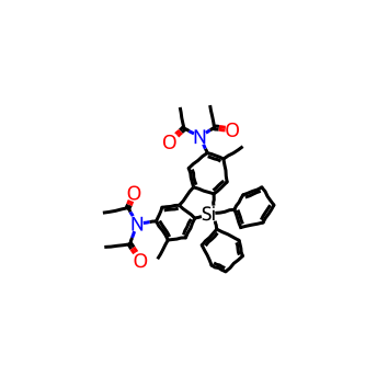 CC(=O)N(C(C)=O)c1cc2c(cc1C)[Si](c1ccccc1)(c1ccccc1)c1cc(C)c(N(C(C)=O)C(C)=O)cc1-2